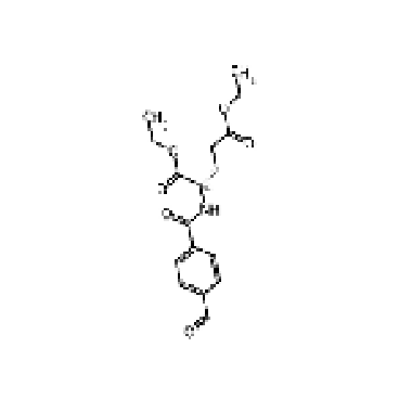 CCOC(=O)CC[C@H](NC(=O)c1ccc(C=O)cc1)C(=O)OCC